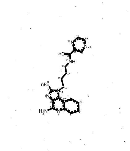 CCCCc1nc2c(N)nc3ccccc3c2n1CCCCNC(=O)c1cnccn1